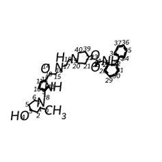 CC1CC(O)CCN1Cc1ccc(C(=O)CNCCN2CCC(OC(=O)Nc3ccccc3-c3ccccc3)CC2)[nH]1